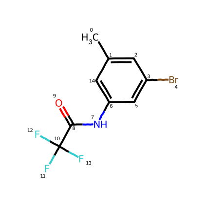 Cc1cc(Br)cc(NC(=O)C(F)(F)F)c1